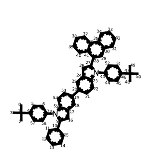 CC(C)(C)c1ccc(-n2c(-c3ccccc3)cc3cc(-c4ccc5c(c4)cc(-c4cc6ccccc6c6ccccc46)n5-c4ccc(C(C)(C)C)cc4)ccc32)cc1